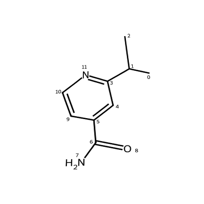 CC(C)c1cc(C(N)=O)ccn1